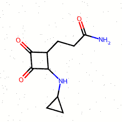 NC(=O)CCC1[C](NC2CC2)C(=O)C1=O